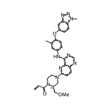 C=CC(=O)N1CCN(c2ccc3ncnc(Nc4ccc(Oc5ccc6c(c5)nnn6C)c(C)c4)c3n2)C[C@H]1COC